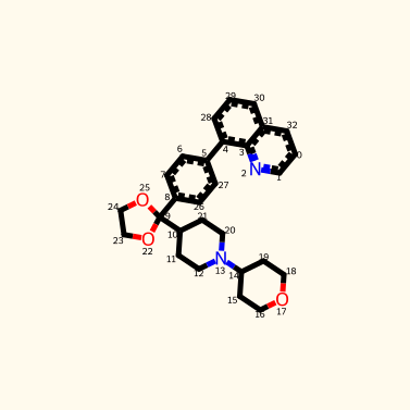 c1cnc2c(-c3ccc(C4(C5CCN(C6CCOCC6)CC5)OCCO4)cc3)cccc2c1